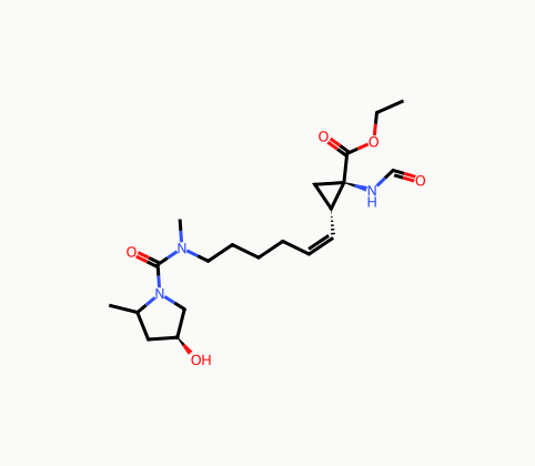 CCOC(=O)[C@@]1(NC=O)C[C@H]1/C=C\CCCCN(C)C(=O)N1C[C@@H](O)CC1C